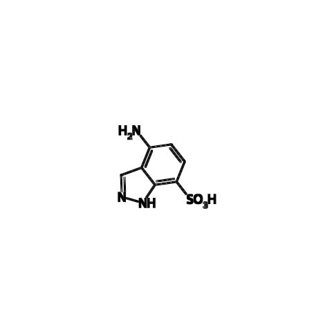 Nc1ccc(S(=O)(=O)O)c2[nH]ncc12